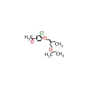 CCC(=CCOc1ccc(C(C)=O)cc1Cl)CCOC(C)CC